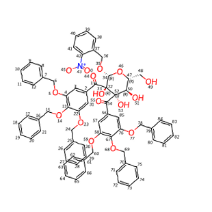 O=C(c1cc(OCc2ccccc2)c(OCc2ccccc2)c(OCc2ccccc2)c1)[C@]1(O)[C@H](OCc2ccccc2[N+](=O)[O-])O[C@H](CO)[C@@H](O)[C@@]1(O)C(=O)c1cc(OCc2ccccc2)c(OCc2ccccc2)c(OCc2ccccc2)c1